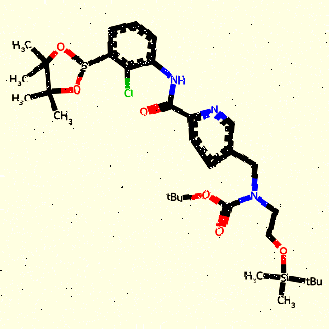 CC(C)(C)OC(=O)N(CCO[Si](C)(C)C(C)(C)C)Cc1ccc(C(=O)Nc2cccc(B3OC(C)(C)C(C)(C)O3)c2Cl)nc1